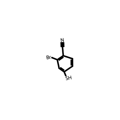 N#Cc1ccc(S)cc1Br